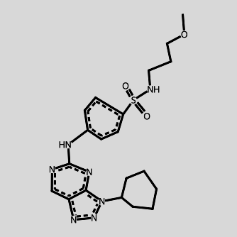 COCCCNS(=O)(=O)c1ccc(Nc2ncc3nnn(C4CCCCC4)c3n2)cc1